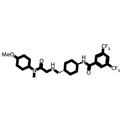 COC1CCC(N(C)C(=O)CNC[C@H]2CC[C@H](NC(=O)c3cc(C(F)(F)F)cc(C(F)(F)F)c3)CC2)CC1